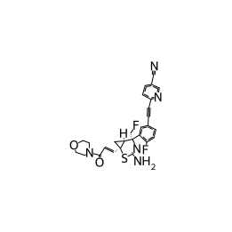 N#Cc1ccc(C#Cc2ccc(F)c([C@@]3(CF)N=C(N)S[C@@]4(/C=C/C(=O)N5CCOCC5)C[C@H]43)c2)nc1